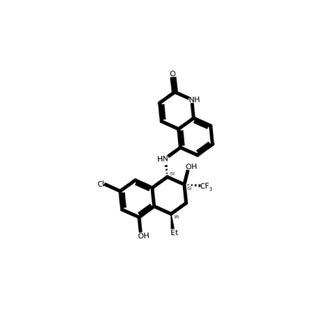 CC[C@@H]1C[C@@](O)(C(F)(F)F)[C@@H](Nc2cccc3[nH]c(=O)ccc23)c2cc(Cl)cc(O)c21